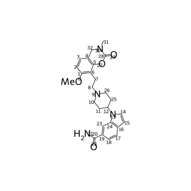 COc1ccc2c(c1CCN1CCC(n3ccc4ccc(C(N)=O)cc43)CC1)OC(=O)N(C)C2